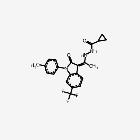 C/C(NNC(=O)C1CC1)=C1/C(=O)N(c2ccc(C)cc2)c2cc(C(F)(F)F)ccc21